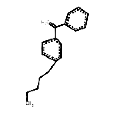 C=C(c1ccccc1)c1ccc(CCCCC)cc1